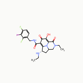 CCN[C@H]1CC2CN(CC)C(=O)c3c(O)c(=O)c(C(=O)NCc4ccc(F)c(I)c4F)c1n32